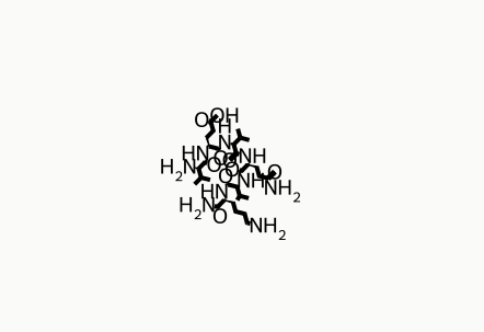 CC(C)[C@H](N)C(=O)N[C@@H](CCC(=O)O)C(=O)N[C@H](C(=O)N[C@@H](CCC(N)=O)C(=O)N[C@H](C(=O)N[C@@H](CCCCN)C(N)=O)C(C)C)C(C)C